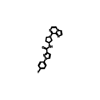 O=C(N[C@H]1CCN(c2nccn3ccnc23)C1)c1ccn(-c2ccc(F)cc2)n1